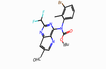 Cc1c(Br)cccc1N(C(=O)OC(C)(C)C)c1nc(C(F)F)nc2cc(C=O)cnc12